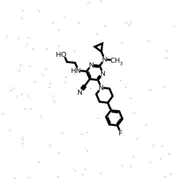 CN(c1nc(NCCO)c(C#N)c(N2CCC(c3ccc(F)cc3)CC2)n1)C1CC1